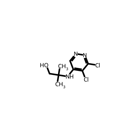 CC(C)(CO)Nc1cnnc(Cl)c1Cl